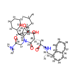 CC(C)C[C@H](O)[C@H](O)[C@H](CC1CCCCC1)N(CC(=O)N(C)C)C(=O)[C@@H](CC(=O)N[C@@H](C)c1cccc2ccccc12)CC1CC1